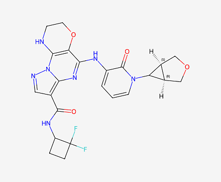 O=C(NC1CCC1(F)F)c1cnn2c3c(c(Nc4cccn(C5[C@H]6COC[C@@H]56)c4=O)nc12)OCCN3